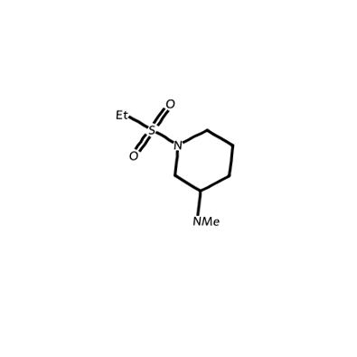 CCS(=O)(=O)N1CCCC(NC)C1